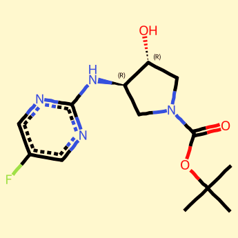 CC(C)(C)OC(=O)N1C[C@@H](O)[C@H](Nc2ncc(F)cn2)C1